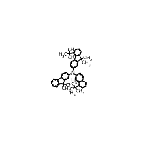 CC(C)(C)c1cccc2c1-c1ccc(N(c3ccc4c(c3)C(C)(C)c3ccccc3-4)c3ccc4cccc(C(C)(C)C)c4c3)cc1C2(C)C